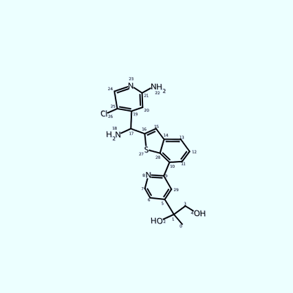 CC(O)(CO)c1ccnc(-c2cccc3cc(C(N)c4cc(N)ncc4Cl)sc23)c1